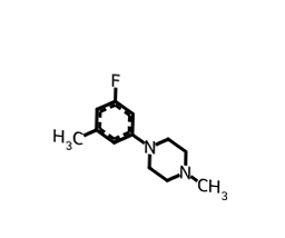 Cc1cc(F)cc(N2CCN(C)CC2)c1